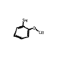 N#COc1ccccc1S